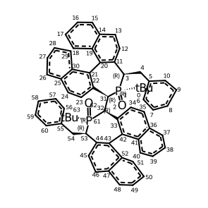 CC(C)(C)[P@@]1(=O)[C@H](Cc2ccccc2)c2ccc3ccccc3c2-c2c(ccc3ccccc23)[C@@H]1[C@H]1c2ccc3ccccc3c2-c2c(ccc3ccccc23)[C@@H](Cc2ccccc2)[P@]1(=O)C(C)(C)C